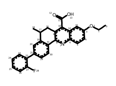 CCOc1ccc2nc3c(c(C(=O)O)c2c1)CC(C)c1cc(-c2ccccc2F)ccc1-3